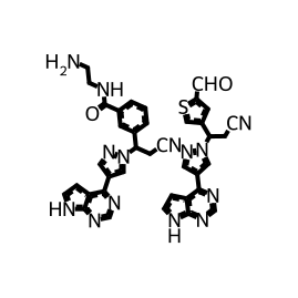 N#CCC(c1cccc(C(=O)NCCN)c1)n1cc(-c2ncnc3[nH]ccc23)cn1.N#CCC(c1csc(C=O)c1)n1cc(-c2ncnc3[nH]ccc23)cn1